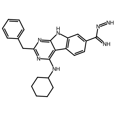 N=NC(=N)c1ccc2c(c1)[nH]c1nc(Cc3ccccc3)nc(NC3CCCCC3)c12